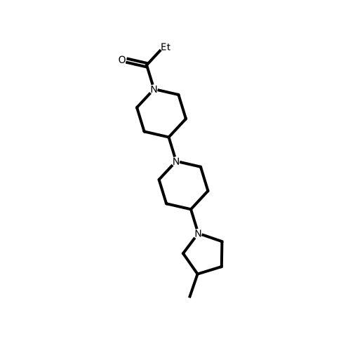 CCC(=O)N1CCC(N2CCC(N3CCC(C)C3)CC2)CC1